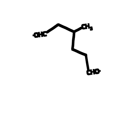 CC(C[C]=O)CC[C]=O